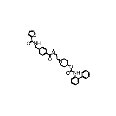 CN(CCN1CCC(OC(=O)Nc2ccccc2-c2ccccc2)CC1)C(=O)c1ccc(CNC(=O)c2cccs2)cc1